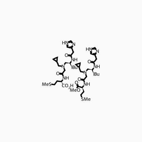 CC[C@H](C)[C@@H](CN(CC(=O)N[C@@H](CCSC)C(=O)O)CC1CC1)NC(=O)Cc1c[nH]cn1.CC[C@H](C)[C@@H](CN(CC(=O)N[C@@H](CCSC)C(=O)OC)CC1CC1)NC(=O)Cc1c[nH]cn1